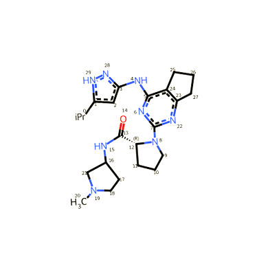 CC(C)c1cc(Nc2nc(N3CCC[C@@H]3C(=O)NC3CCN(C)C3)nc3c2CCC3)n[nH]1